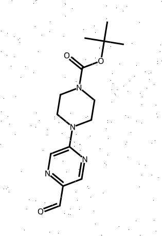 CC(C)(C)OC(=O)N1CCN(c2cnc(C=O)cn2)CC1